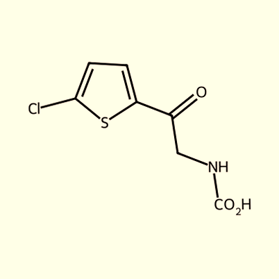 O=C(O)NCC(=O)c1ccc(Cl)s1